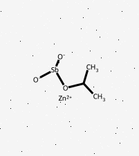 CC(C)[O][Sb]([O-])[O-].[Zn+2]